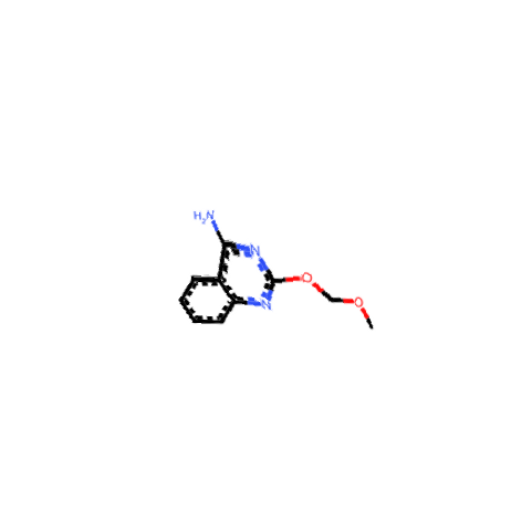 COCOc1nc(N)c2ccccc2n1